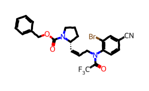 N#Cc1ccc(N(C/C=C\[C@H]2CCCN2C(=O)OCc2ccccc2)C(=O)C(F)(F)F)c(Br)c1